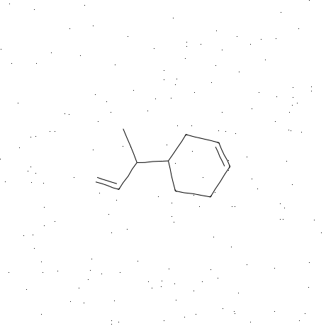 C=CC(C)C1CC=CCC1